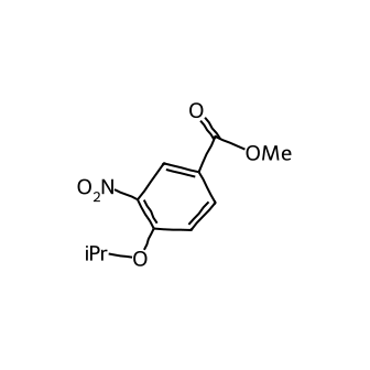 COC(=O)c1ccc(OC(C)C)c([N+](=O)[O-])c1